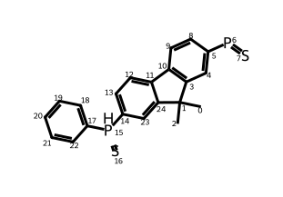 CC1(C)c2cc(P=S)ccc2-c2ccc([PH](=S)c3ccccc3)cc21